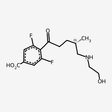 C[C@@H](CCC(=O)c1c(F)cc(C(=O)O)cc1F)CNCCO